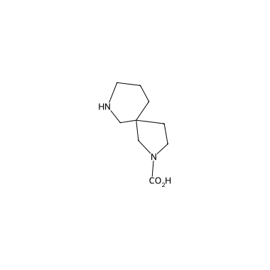 O=C(O)N1CCC2(CCCNC2)C1